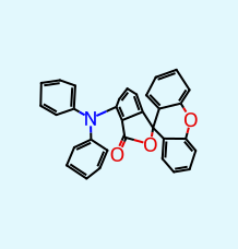 O=C1OC2(c3ccccc3Oc3ccccc32)c2cccc(N(c3ccccc3)c3ccccc3)c21